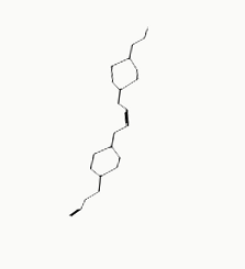 C=CCCC1CCC(C/C=C\CC2CCC(CCC)CC2)CC1